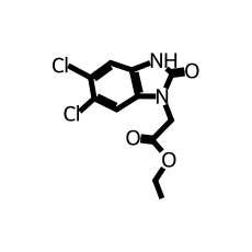 CCOC(=O)Cn1c(=O)[nH]c2cc(Cl)c(Cl)cc21